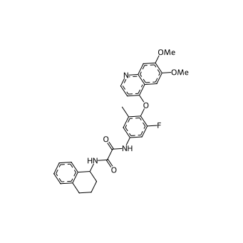 COc1cc2nccc(Oc3c(C)cc(NC(=O)C(=O)NC4CCCc5ccccc54)cc3F)c2cc1OC